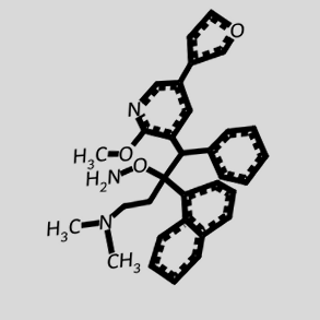 COc1ncc(-c2ccoc2)cc1C(c1ccccc1)C(CCN(C)C)(ON)c1cccc2ccccc12